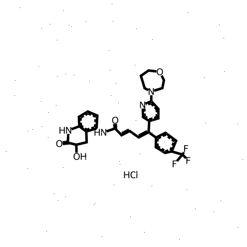 Cl.O=C(/C=C/C=C(/c1ccc(C(F)(F)F)cc1)c1ccc(N2CCCOCC2)nc1)Nc1cccc2c1CC(O)C(=O)N2